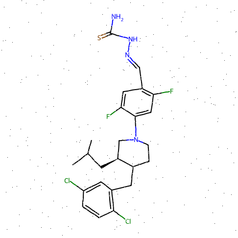 CC(C)C[C@H]1CN(c2cc(F)c(/C=N/NC(N)=S)cc2F)CCC1Cc1cc(Cl)ccc1Cl